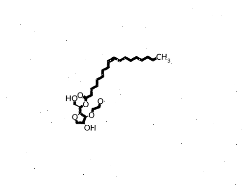 CCCCCCCC/C=C\CCCCCCCC(=O)O[C@H](CO)[C@H]1OC[C@H](O)[C@H]1OCC[O]